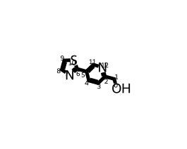 OCc1ccc(-c2nccs2)cn1